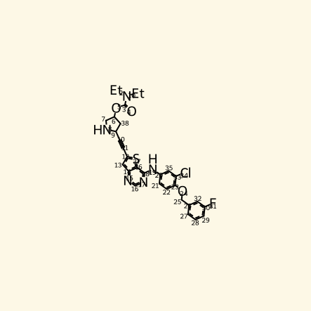 CCN(CC)C(=O)OC1CNC(C#Cc2cc3ncnc(Nc4ccc(OCc5cccc(F)c5)c(Cl)c4)c3s2)C1